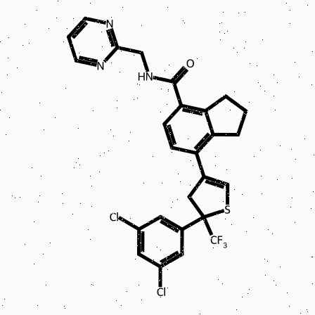 O=C(NCc1ncccn1)c1ccc(C2=CSC(c3cc(Cl)cc(Cl)c3)(C(F)(F)F)C2)c2c1CCC2